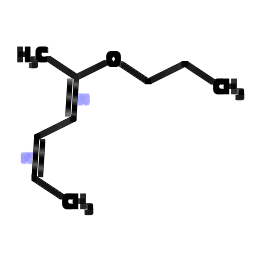 C/C=C\C=C(/C)OCCC